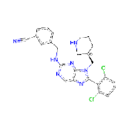 N#Cc1cccc(CNc2ncc3nc(-c4c(Cl)cccc4Cl)n(C[C@@H]4CCCNC4)c3n2)c1